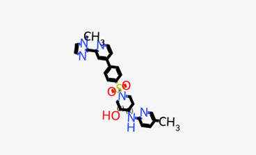 Cc1ccc(N[C@@H]2CCN(S(=O)(=O)c3ccc(-c4ccnc(-c5nccn5C)c4)cc3)C[C@@H]2O)nc1